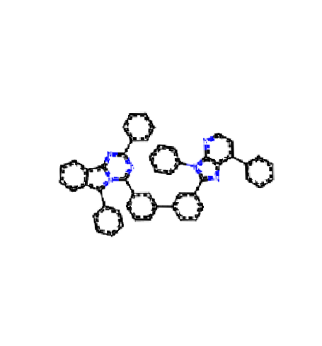 c1ccc(-c2nc(-c3cccc(-c4cccc(-c5nc6c(-c7ccccc7)ccnc6n5-c5ccccc5)c4)c3)n3c(-c4ccccc4)c4ccccc4c3n2)cc1